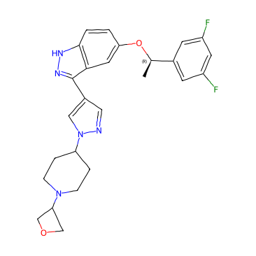 C[C@@H](Oc1ccc2[nH]nc(-c3cnn(C4CCN(C5COC5)CC4)c3)c2c1)c1cc(F)cc(F)c1